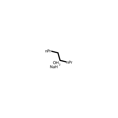 O.[CH2]CCCCCCC.[NaH]